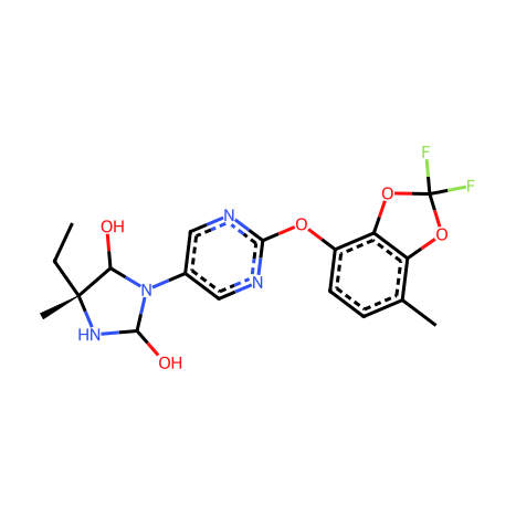 CC[C@@]1(C)NC(O)N(c2cnc(Oc3ccc(C)c4c3OC(F)(F)O4)nc2)C1O